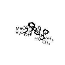 COC(=O)[C@@H](NC(=O)C1(Cc2ccccc2)CCCN1C(=O)[C@@H]1CCCN1C(=O)[C@@H](N)[C@@H](C)O)[C@@H](C)O